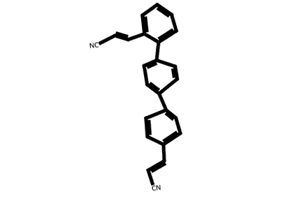 N#CC=Cc1ccc(-c2ccc(-c3ccccc3C=CC#N)cc2)cc1